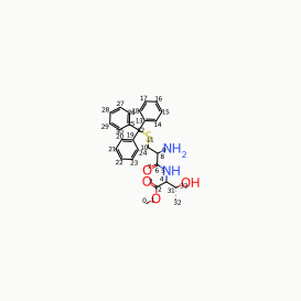 COC(=O)[C@@H](NC(=O)C(N)CSC(c1ccccc1)(c1ccccc1)c1ccccc1)[C@@H](C)O